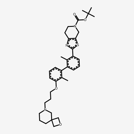 Cc1c(OCCCN2CCCC3(COC3)C2)cccc1-c1cccc(-c2nc3c(s2)CN(C(=O)OC(C)(C)C)CC3)c1C